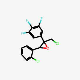 Fc1cc(C2(CCl)OC2c2ccccc2Cl)cc(F)c1F